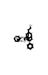 O=C(N[C@@H]1CN2CCC1CC2)C12CC3CC(CCF)(C1)C[C@](c1ccccc1)(C3)C2